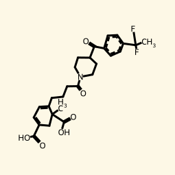 CC1(C(=O)O)CC(C(=O)O)=CC=C1CCCC(=O)N1CCC(C(=O)c2ccc(C(C)(F)F)cc2)CC1